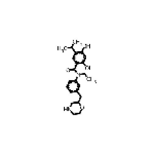 CCN(C(=O)c1cc(C(C)C)c(O)cc1O)c1cccc(CC2CNCCO2)c1